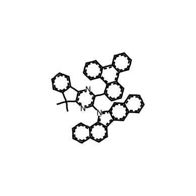 CC1(C)c2ccccc2-c2nc(-c3cccc4c5ccccc5c5ccccc5c34)c(-n3c4cc5ccccc5cc4c4ccc5ccccc5c43)nc21